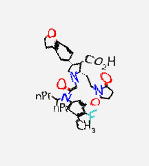 CCCC(CCC)N(C(=O)CN1C[C@H](c2ccc3c(c2)CCO3)[C@@H](C(=O)O)[C@@H]1CCN1C(=O)CCC1=O)c1ccc(F)c(C)c1